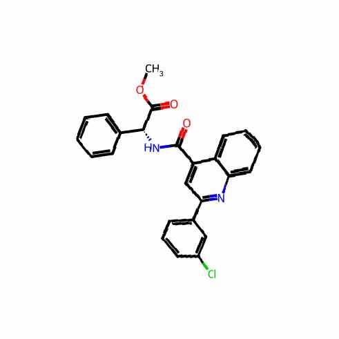 COC(=O)[C@H](NC(=O)c1cc(-c2cccc(Cl)c2)nc2ccccc12)c1ccccc1